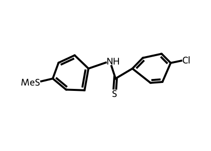 CSc1ccc(NC(=S)c2ccc(Cl)cc2)cc1